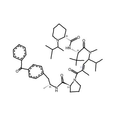 C/C(=C\C(C(C)C)N(C)C(=O)[C@@H](NC(=O)[C@H]1CCCCN1C(C)C(C)C)C(C)(C)C)C(=O)N1CCC[C@H]1C(=O)N[C@H](C)Cc1ccc(C(=O)c2ccccc2)cc1